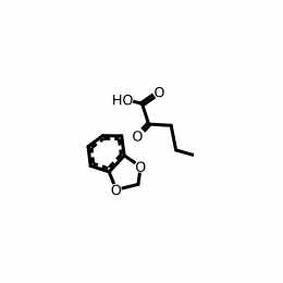 CCCC(=O)C(=O)O.c1ccc2c(c1)OCO2